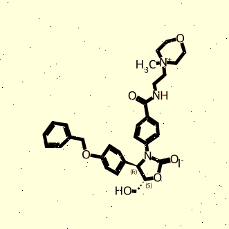 C[N+]1(CCNC(=O)c2ccc(N3C(=O)O[C@H](CO)[C@H]3c3ccc(OCc4ccccc4)cc3)cc2)CCOCC1.[I-]